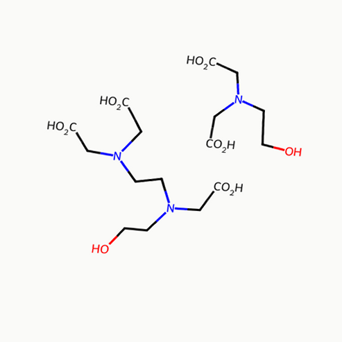 O=C(O)CN(CCO)CC(=O)O.O=C(O)CN(CCO)CCN(CC(=O)O)CC(=O)O